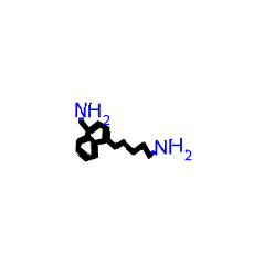 NCCCCCc1ccc(CN)c2ccccc12